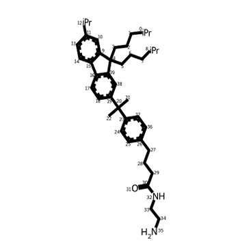 CC(C)CCCC1(CCCC(C)C)c2cc(C(C)C)ccc2-c2ccc(C(C)(C)c3ccc(CCCC(=O)NCCN)cc3)cc21